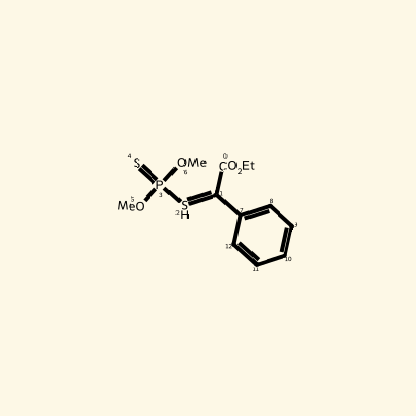 CCOC(=O)C(=[SH]P(=S)(OC)OC)c1ccccc1